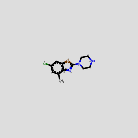 Cc1cc(Cl)cc2sc(N3CCNCC3)nc12